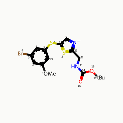 COc1cc(Br)cc(Sc2cnc(CNC(=O)OC(C)(C)C)s2)c1